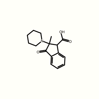 CC1(N2CCCCC2)C(=O)c2ccccc2C1C(=O)O